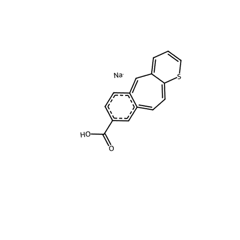 O=C(O)c1ccc2c(c1)=CC=C1SC=CC=C1C=2.[Na]